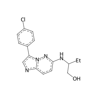 CCC(CO)Nc1ccc2ncc(-c3ccc(Cl)cc3)n2n1